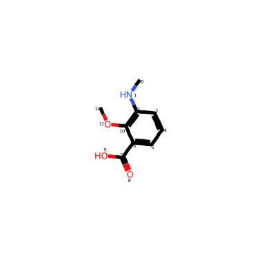 CNc1cccc(C(=O)O)c1OC